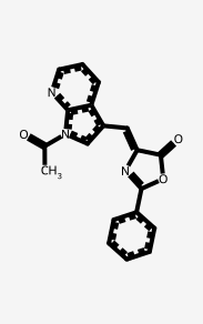 CC(=O)n1cc(/C=C2\N=C(c3ccccc3)OC2=O)c2cccnc21